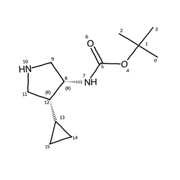 CC(C)(C)OC(=O)N[C@H]1CNC[C@H]1C1CC1